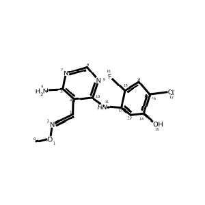 CON=Cc1c(N)ncnc1Nc1cc(O)c(Cl)cc1F